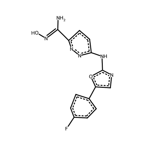 N/C(=N\O)c1ccc(Nc2ncc(-c3ccc(F)cc3)o2)nn1